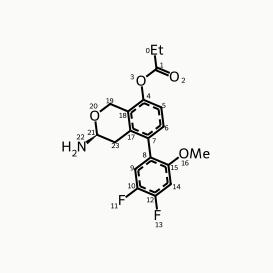 CCC(=O)Oc1ccc(-c2cc(F)c(F)cc2OC)c2c1CO[C@H](N)C2